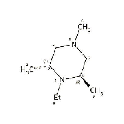 CCN1[C@H](C)CN(C)C[C@H]1C